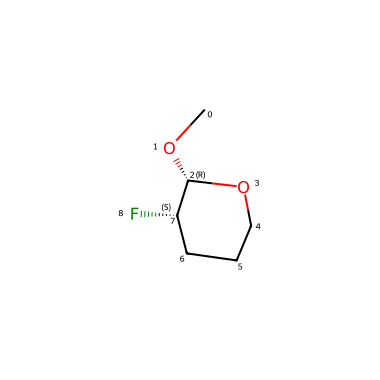 CO[C@@H]1OCCC[C@@H]1F